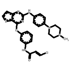 CN1CCN(c2ccc(Nc3nc(Oc4cccc(NC(=O)C=CCl)c4)c4sccc4n3)cc2)CC1